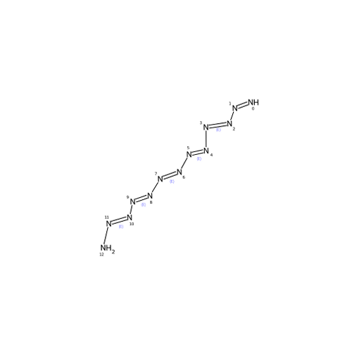 N=N/N=N/N=N/N=N/N=N/N=N/N